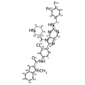 Cn1c(C(=O)Nc2ccc(-c3nc4cnc(NCc5ccc(F)c(F)c5)nc4n3C[C@@H]3CCCNC3)c(Cl)c2)cc2ccccc21